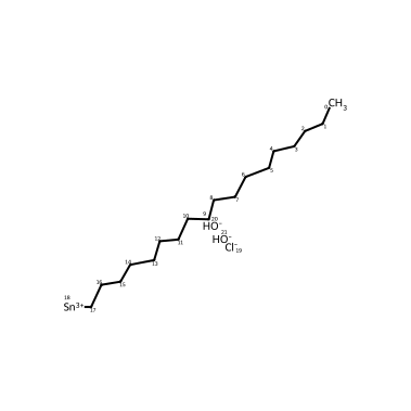 CCCCCCCCCCCCCCCCC[CH2][Sn+3].[Cl-].[OH-].[OH-]